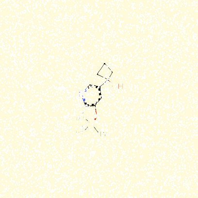 CC(C)[Si](Oc1cncc(C2(O)CCC2)c1)(C(C)C)C(C)C